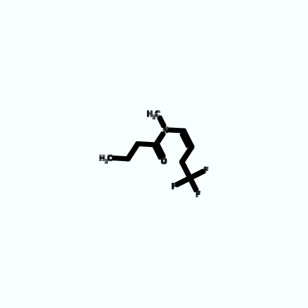 CCCC(=O)N(C)/C=C\CC(F)(F)F